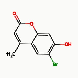 [CH2]c1cc(=O)oc2cc(O)c(Br)cc12